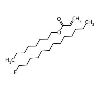 C=CC(=O)OCCCCCCCC.CCCCCCCCCCCCCF